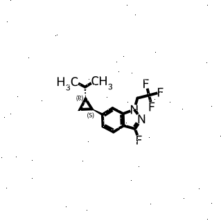 CC(C)[C@H]1C[C@@H]1c1ccc2c(F)nn(CC(F)(F)F)c2c1